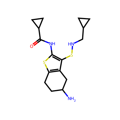 NC1CCc2sc(NC(=O)C3CC3)c(SNCC3CC3)c2C1